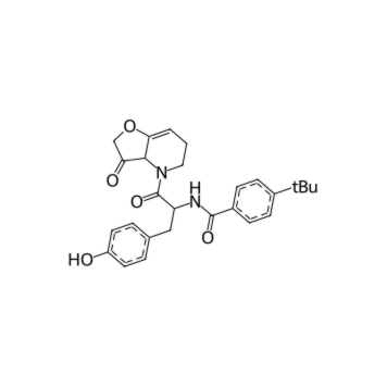 CC(C)(C)c1ccc(C(=O)NC(Cc2ccc(O)cc2)C(=O)N2CCC=C3OCC(=O)C32)cc1